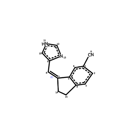 N#Cc1ccc2c(c1)/C(=C\c1c[nH]cn1)CC2